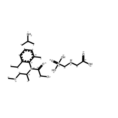 CC(C)N.CCc1cccc(C)c1N(C(=O)CCl)C(C)COC.O=C(O)CNCP(=O)(O)O